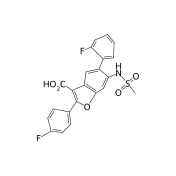 CS(=O)(=O)Nc1cc2oc(-c3ccc(F)cc3)c(C(=O)O)c2cc1-c1ccccc1F